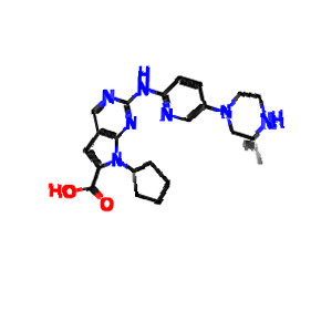 C[C@@H]1CN(c2ccc(Nc3ncc4cc(C(=O)O)n(C5CCCC5)c4n3)nc2)CCN1